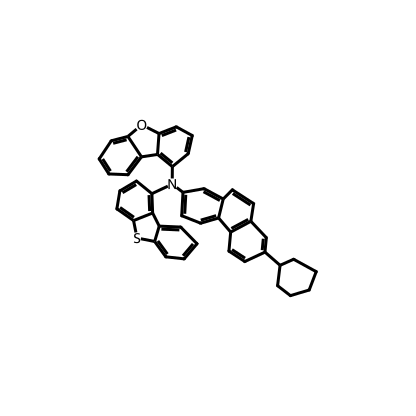 c1ccc2c(c1)oc1cccc(N(c3ccc4c(ccc5cc(C6CCCCC6)ccc54)c3)c3cccc4sc5ccccc5c34)c12